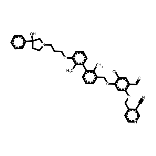 Cc1c(COc2cc(OCc3ccncc3C#N)c(C=O)cc2Cl)cccc1-c1cccc(OCCCN2CCC(O)(c3ccccc3)C2)c1C